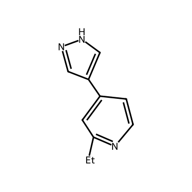 CCc1cc(-c2cn[nH]c2)ccn1